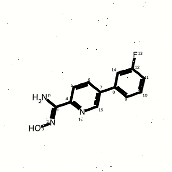 N/C(=N\O)c1ccc(-c2cccc(F)c2)cn1